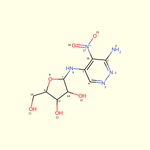 Nc1nncc(NC2OC(CO)C(O)C2O)c1[N+](=O)[O-]